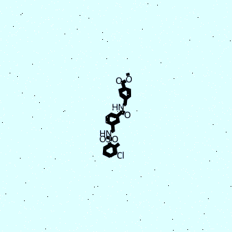 COC(=O)c1ccc(CNC(=O)c2cccc(CNS(=O)(=O)c3cccc(Cl)c3C)c2)cc1